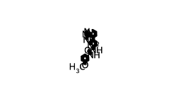 COc1cccc(NC(=O)Nc2ccc(-c3cccn4nnc(N)c34)cn2)c1